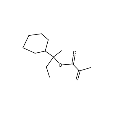 C=C(C)C(=O)OC(C)(CC)C1CCCCC1